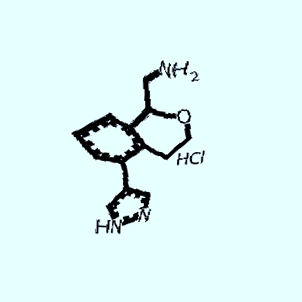 Cl.NCC1OCCc2c(-c3cn[nH]c3)cccc21